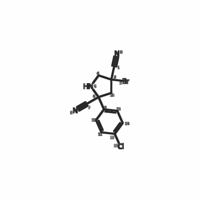 N#CC1(Br)CNC(C#N)(c2ccc(Cl)cc2)C1